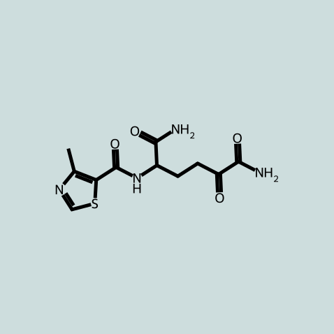 Cc1ncsc1C(=O)NC(CCC(=O)C(N)=O)C(N)=O